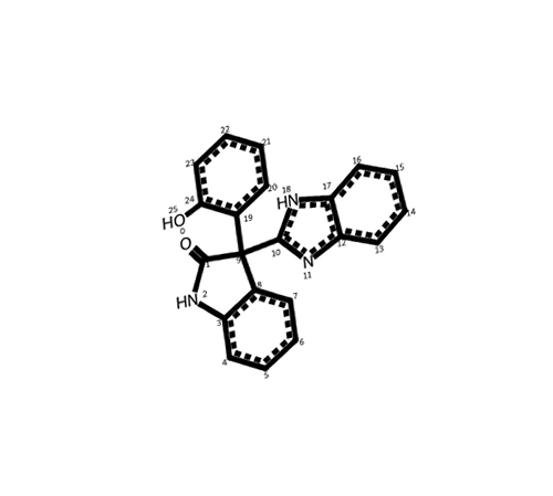 O=C1Nc2ccccc2C1(c1nc2ccccc2[nH]1)c1ccccc1O